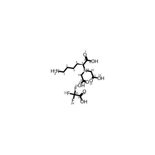 NCCCC[C@@H](C(=O)O)N(CC(=O)O)CC(=O)O.O=C(O)C(F)(F)F